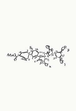 COC(=O)c1ccc(-c2cc(-c3ccc(C(F)(F)F)cc3CN3C(=O)O[C@H](c4cc(C(F)(F)F)cc(C(F)(F)F)c4)[C@@H]3C)ccc2F)cc1